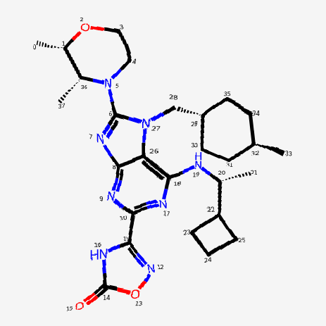 C[C@@H]1OCCN(c2nc3nc(-c4noc(=O)[nH]4)nc(N[C@H](C)C4CCC4)c3n2C[C@H]2CC[C@H](C)CC2)[C@@H]1C